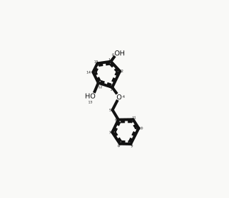 Oc1[c]c(OCc2ccccc2)c(O)cc1